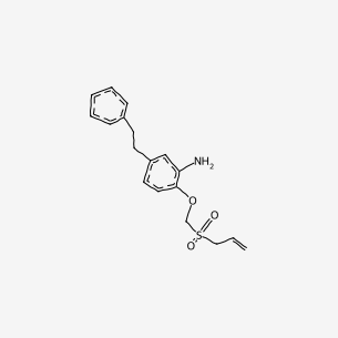 C=CCS(=O)(=O)COc1ccc(CCc2ccccc2)cc1N